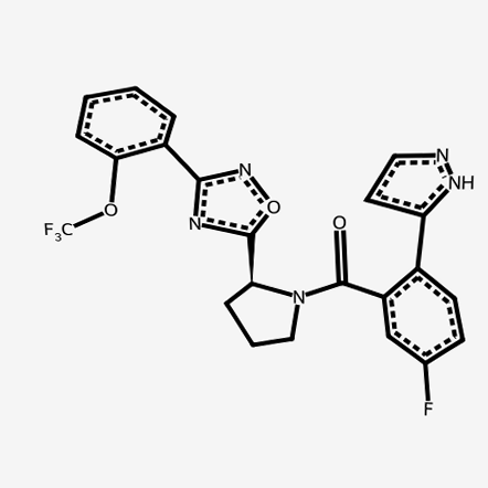 O=C(c1cc(F)ccc1-c1ccn[nH]1)N1CCC[C@H]1c1nc(-c2ccccc2OC(F)(F)F)no1